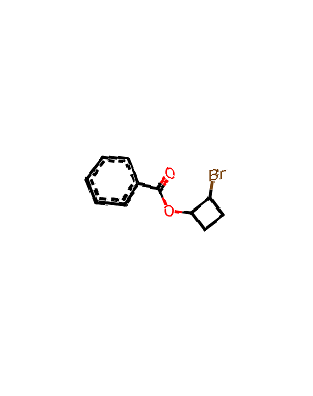 O=C(OC1CCC1Br)c1ccccc1